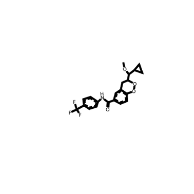 COC(C1CC1)C1Cc2cc(C(=O)Nc3ccc(C(F)(F)F)cc3)ccc2OO1